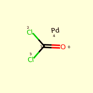 O=C(Cl)Cl.[Pd]